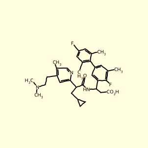 Cc1cnc(C(CC2CC2)C(=O)NC(CC(=O)O)c2cc(-c3c(C)cc(F)cc3C)cc(C)c2F)cc1CCN(C)C